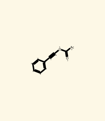 CC(=O)C(=O)OC#Cc1ccccc1